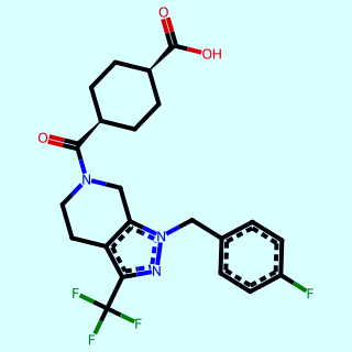 O=C(O)[C@H]1CC[C@@H](C(=O)N2CCc3c(C(F)(F)F)nn(Cc4ccc(F)cc4)c3C2)CC1